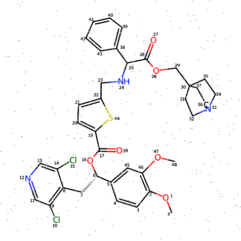 COc1ccc([C@H](Cc2c(Cl)cncc2Cl)OC(=O)c2ccc(CNC(C(=O)OCC34CCN(CC3)CC4)c3ccccc3)s2)cc1OC